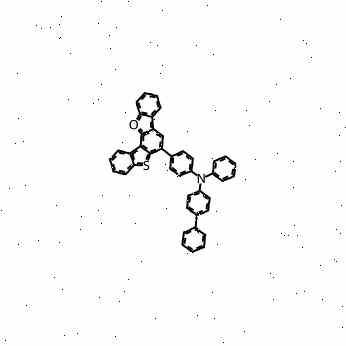 c1ccc(-c2ccc(N(c3ccccc3)c3ccc(-c4cc5c6ccccc6oc5c5c4sc4ccccc45)cc3)cc2)cc1